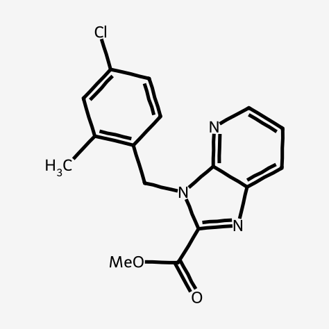 COC(=O)c1nc2cccnc2n1Cc1ccc(Cl)cc1C